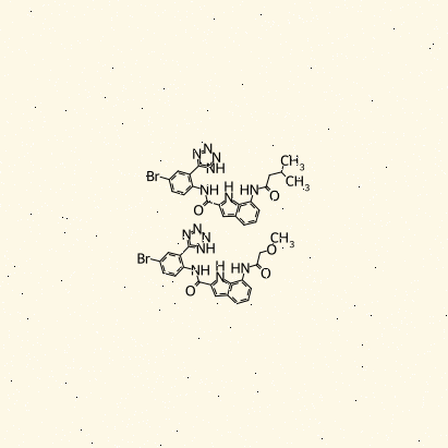 CC(C)CC(=O)Nc1cccc2cc(C(=O)Nc3ccc(Br)cc3-c3nnn[nH]3)[nH]c12.COCC(=O)Nc1cccc2cc(C(=O)Nc3ccc(Br)cc3-c3nnn[nH]3)[nH]c12